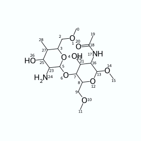 COCC1OC(OC2C(COC)OC(OC)C(NC(C)=O)C2O)C(N)C(O)C1C